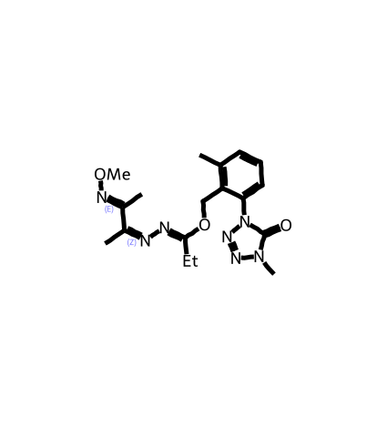 CCC(=N/N=C(C)\C(C)=N\OC)OCc1c(C)cccc1-n1nnn(C)c1=O